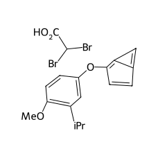 COc1ccc(Oc2ccc3cc2-3)cc1C(C)C.O=C(O)C(Br)Br